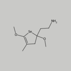 COC1=C(C)CC(CCN)(OC)[Se]1